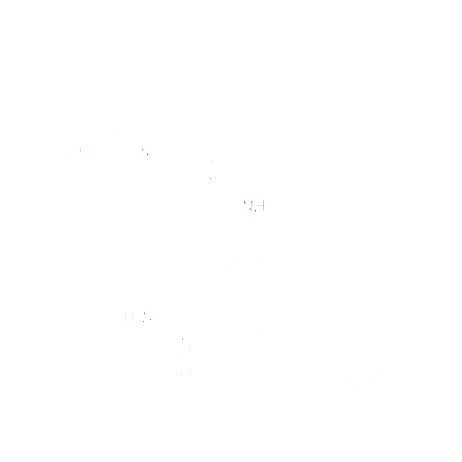 C=CC(=O)N1CCC(Nc2cc(C(N)=O)cc(-c3ccccc3CC)c2)CC1